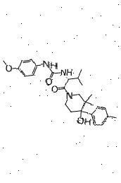 COc1ccc(NC(=O)N[C@@H](C(=O)N2CCC(O)(c3ccc(C)cc3)C(C)(C)C2)C(C)C)cc1